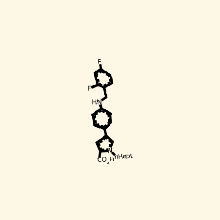 CCCCCCCn1cc(-c2ccc(NCc3ccc(F)cc3F)cc2)cc1C(=O)O